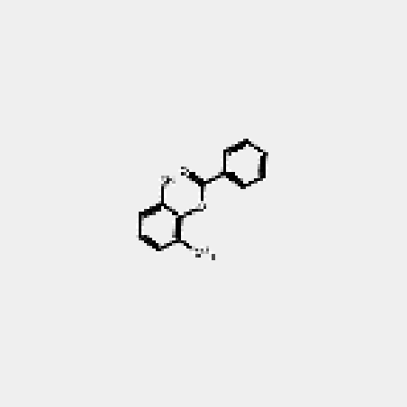 Cc1cccc(S)c1OC(=O)c1ccccc1